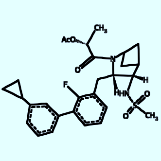 CC(=O)O[C@H](C)C(=O)N1C2CC(C2)[C@H](NS(C)(=O)=O)[C@@H]1Cc1cccc(-c2cccc(C3CC3)c2)c1F